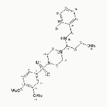 COc1ccc(S(=O)(=O)N2CCN(C(CCOCC(C)C)NCc3ccccc3C)CC2)cc1OC